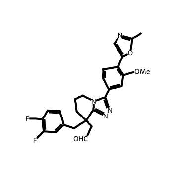 COc1cc(-c2nnc3n2CCCC3(CC=O)Cc2ccc(F)c(F)c2)ccc1-c1cnc(C)o1